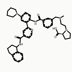 CN(CCN1CCC[C@H]1C(=O)O)Cc1cccc(C(=O)Nc2ccc(N3CCCCC3)cc2-c2cc(C(=O)NC3CCCc4ccccc43)ccn2)c1